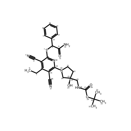 CCc1c(C#N)c(SC(C(N)=O)c2ccccc2)nc(N2CC[C@](O)(CNC(=O)OC(C)(C)C)C2)c1C#N